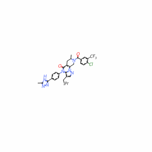 Cc1nnc(-c2ccc(-n3c(=O)c4c(n5ncc(CC(C)C)c35)CN(C(=O)c3ccc(Cl)c(C(F)(F)F)c3)C(C)C4)cc2)[nH]1